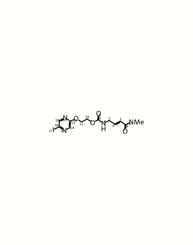 CNC(=O)/C=C/CNC(=O)OCCOc1cnc(I)cn1